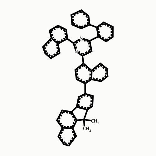 CC1(C)c2ccc(-c3ccc(-c4cc(-c5ccccc5-c5ccccc5)nc(-c5cccc6ccccc56)n4)c4ccccc34)cc2-c2ccc3ccccc3c21